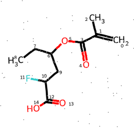 C=C(C)C(=O)OC(CC)CC(F)C(=O)O